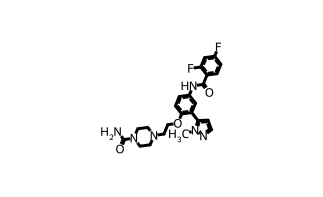 Cn1nccc1-c1cc(NC(=O)c2ccc(F)cc2F)ccc1OCCN1CCN(C(N)=O)CC1